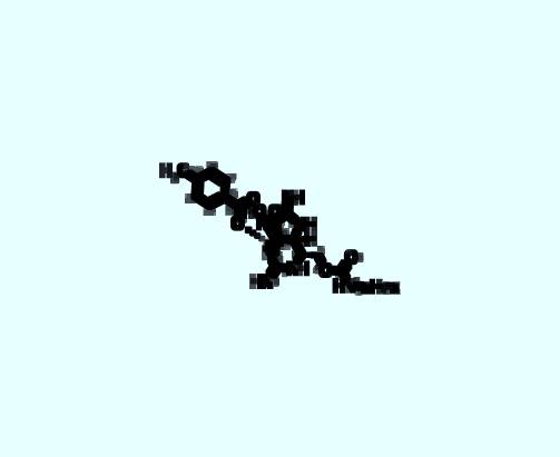 CCCCCCNC(=O)OC[C@@H]1NC(=N)N2C[C@H](OC(=O)c3ccc(C)cc3)C(O)(O)C23NC(=N)N[C@@H]13